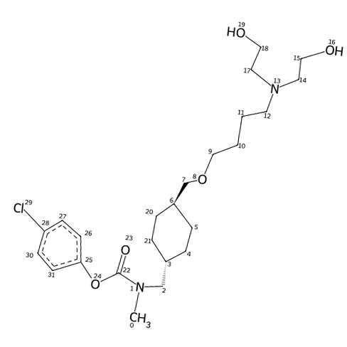 CN(C[C@H]1CC[C@H](COCCCCN(CCO)CCO)CC1)C(=O)Oc1ccc(Cl)cc1